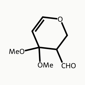 COC1(OC)C=COCC1C=O